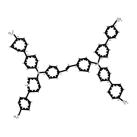 Cc1ccc(-c2ccc(N(c3ccc(/C=C/c4ccc(N(c5ccc(-c6ccc(C)cc6)cc5)c5ccc(-c6ccc(C)cc6)cc5)cc4)cc3)c3ccc(-c4ccc(C)cc4)cc3)cc2)cc1